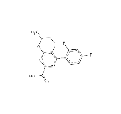 CC1CCc2c(-c3ccc(F)cc3F)cc(C(=O)O)nc2O1